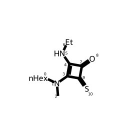 CCCCCCN(C)c1c(NCC)c(=O)c1=S